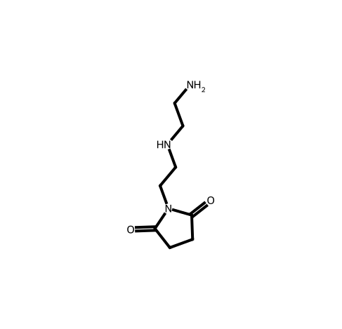 NCCNCCN1C(=O)CCC1=O